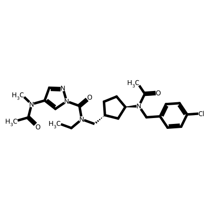 CCN(C[C@@H]1CC[C@@H](N(Cc2ccc(Cl)cc2)C(C)=O)C1)C(=O)n1cc(N(C)C(C)=O)cn1